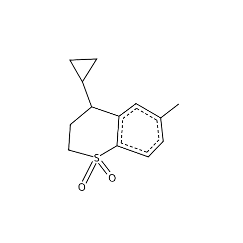 Cc1ccc2c(c1)C(C1CC1)CCS2(=O)=O